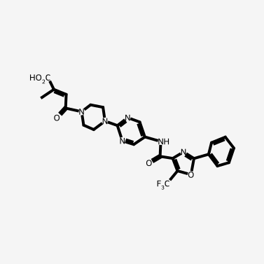 C/C(=C\C(=O)N1CCN(c2ncc(NC(=O)c3nc(-c4ccccc4)oc3C(F)(F)F)cn2)CC1)C(=O)O